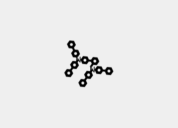 c1ccc(-c2ccc(N(Cc3ccccc3-c3ccc(N(c4ccc(-c5ccccc5)cc4)c4ccc(-c5ccccc5)cc4)cc3)c3ccc(-c4ccccc4)cc3)cc2)cc1